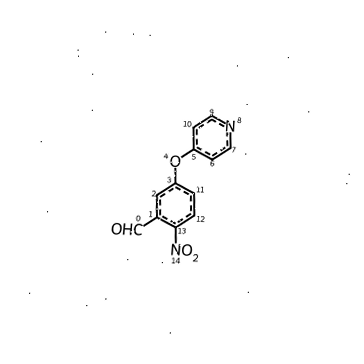 O=Cc1cc(Oc2ccncc2)ccc1[N+](=O)[O-]